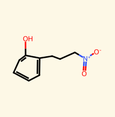 O=[N+]([O-])CCCc1ccccc1O